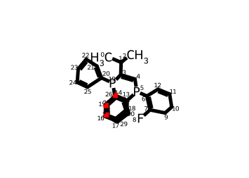 CC(C)/C(=C/P(C1=C(F)CCC=C1)c1ccccc1)P(c1ccccc1)c1ccccc1